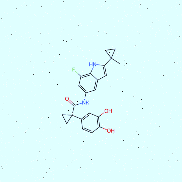 CC1(c2cc3cc(NC(=O)C4(c5ccc(O)c(O)c5)CC4)cc(F)c3[nH]2)CC1